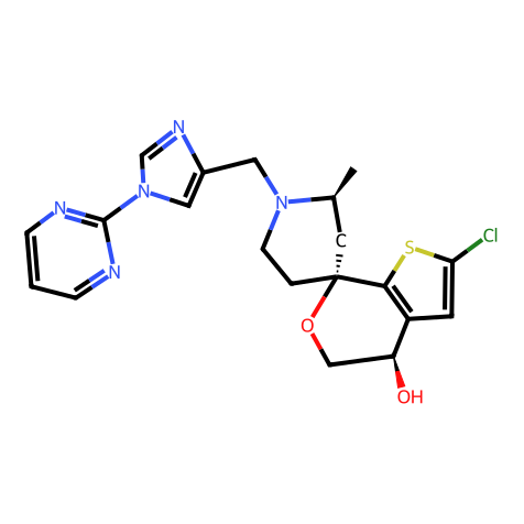 C[C@H]1C[C@@]2(CCN1Cc1cn(-c3ncccn3)cn1)OC[C@H](O)c1cc(Cl)sc12